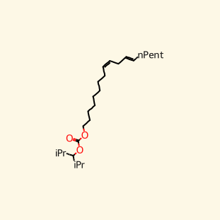 CCCCC/C=C/C/C=C\CCCCCCCCOC(=O)OC(C(C)C)C(C)C